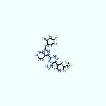 Nc1nc(-c2nc(Cc3ccc(F)c(F)c3F)n3ncccc23)ncc1-c1cncc(C(F)(F)F)c1